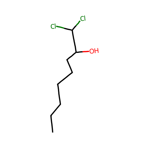 CCCCCCC(O)C(Cl)Cl